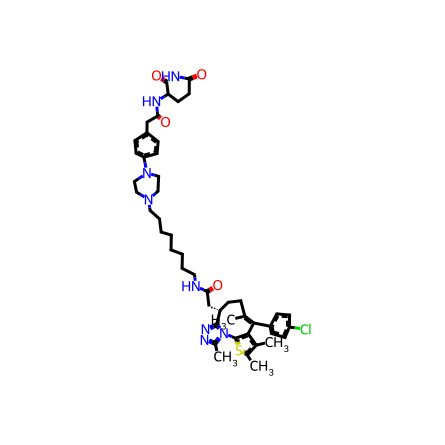 C/C1=C(/c2ccc(Cl)cc2)c2c(sc(C)c2C)-n2c(C)nnc2[C@H](CC(=O)NCCCCCCCCN2CCN(c3ccc(CC(=O)NC4CCC(=O)NC4=O)cc3)CC2)CC1